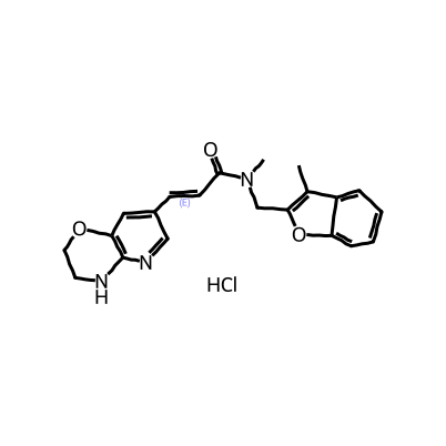 Cc1c(CN(C)C(=O)/C=C/c2cnc3c(c2)OCCN3)oc2ccccc12.Cl